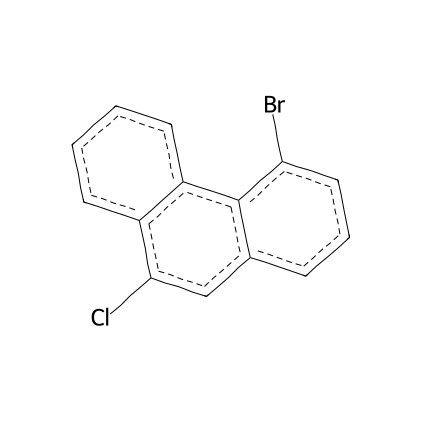 Clc1cc2cccc(Br)c2c2ccccc12